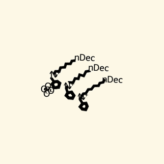 CCCCCCCCCCCCCCCCCC[N+](C)(C)Cc1ccccc1.CCCCCCCCCCCCCCCCCC[N+](C)(C)Cc1ccccc1.CCCCCCCCCCCCCCCCCC[N+](C)(C)Cc1ccccc1.O=P([O-])([O-])[O-]